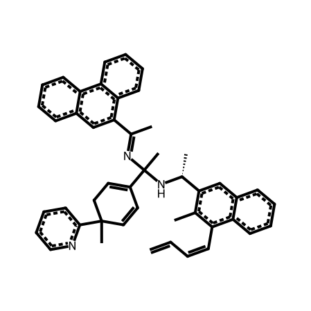 C=C/C=C\c1c(C)c([C@@H](C)NC(C)(/N=C(\C)c2cc3ccccc3c3ccccc23)C2=CCC(C)(c3ccccn3)C=C2)cc2ccccc12